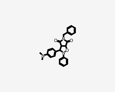 CN(C)c1ccc(C2C3C(=O)N(Cc4ccccc4)C(=O)C3ON2c2ccccc2)cc1